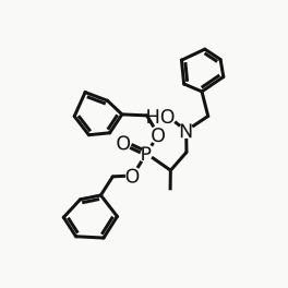 CC(CN(O)Cc1ccccc1)P(=O)(OCc1ccccc1)OCc1ccccc1